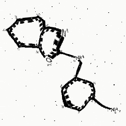 Nc1cccc(Nc2nc3ccccc3o2)c1